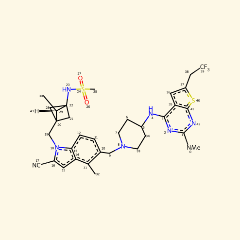 CNc1nc(NC2CCN(Cc3ccc4c(cc(C#N)n4CC45CC(NS(C)(=O)=O)(C4)[C@H]5C)c3C)CC2)c2cc(CC(F)(F)F)sc2n1